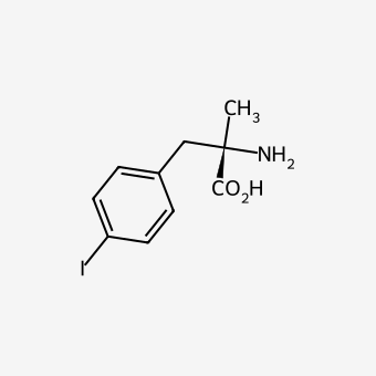 C[C@](N)(Cc1ccc(I)cc1)C(=O)O